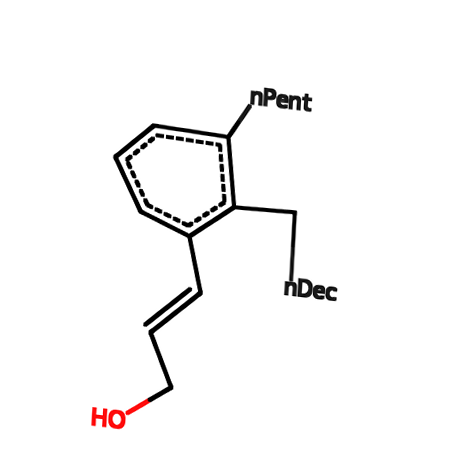 CCCCCCCCCCCc1c(/C=C/CO)cccc1CCCCC